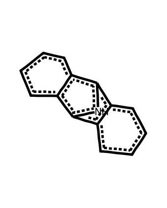 c1ccc2c(c1)c1[nH]c2c2ccccc21